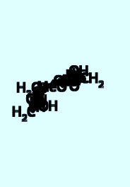 C=C1C[C@H]2C(O)=Nc3cc(OCCCCCOc4cc5c(cc4OC)C(=O)N4CC(=C)C[C@H]4C(O)=N5)c(C)cc3C(=O)N2C1